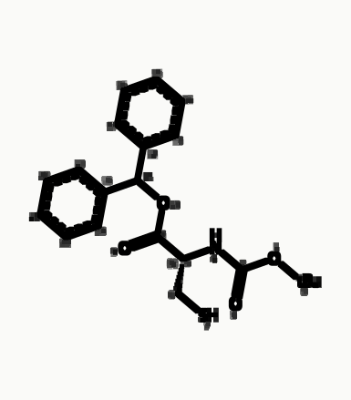 CC(C)(C)OC(=O)N[C@H](CS)C(=O)OC(c1ccccc1)c1ccccc1